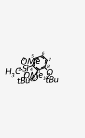 CO[Si](C)(OC)c1cccc(OC(C)(C)C)c1OC(C)(C)C